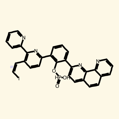 O=[PH](O)Oc1c(-c2ccc(/C=C\I)c(-c3ccccn3)n2)cccc1-c1ccc2ccc3cccnc3c2n1